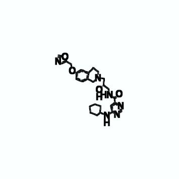 O=C(NC[C@H](O)CN1CCc2cc(OCc3cnco3)ccc2C1)c1cc(NC2CCCCC2)ncn1